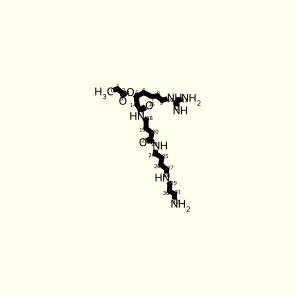 CCC(=O)OC(CCCCNC(=N)N)CC(=O)NCCCC(=O)NCCCCNCCCN